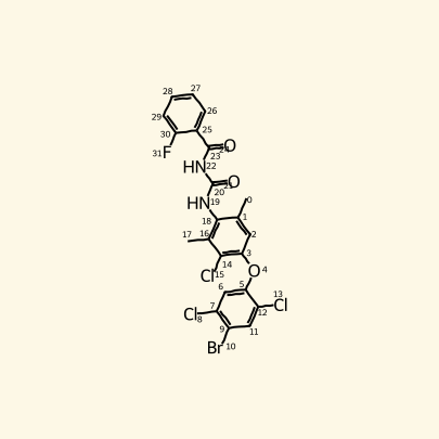 Cc1cc(Oc2cc(Cl)c(Br)cc2Cl)c(Cl)c(C)c1NC(=O)NC(=O)c1ccccc1F